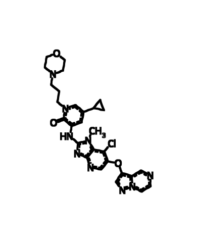 Cn1c(Nc2cc(C3CC3)cn(CCCN3CCOCC3)c2=O)nc2ncc(Oc3cnn4ccncc34)c(Cl)c21